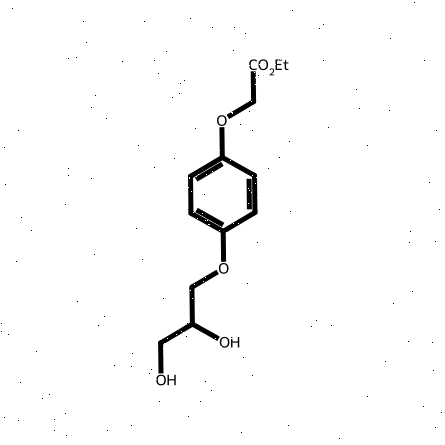 CCOC(=O)COc1ccc(OCC(O)CO)cc1